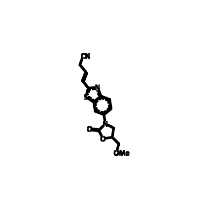 COCC1CN(c2ccc3nc(C=CCC#N)sc3c2)C(=O)O1